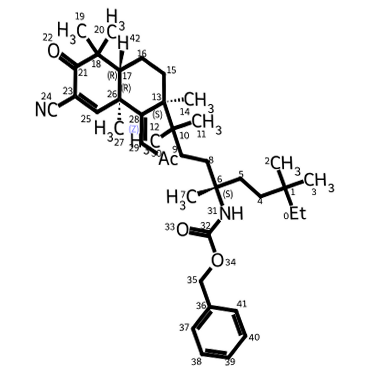 CCC(C)(C)CC[C@@](C)(CCC(C)(C)[C@]1(C)CC[C@H]2C(C)(C)C(=O)C(C#N)=C[C@]2(C)/C1=C/C(C)=O)NC(=O)OCc1ccccc1